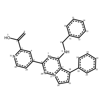 C=C(O)c1cc(-c2nc(NCc3ccccc3)c3c(-c4ccccc4)ccn3n2)ccn1